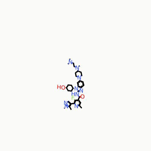 Cc1cc(C(=O)Nc2nc3ccc(N4CCC(N(C)CCN(C)C)CC4)cc3n2[C@H]2CC[C@@H](O)CC2)c(F)c(-c2cnn(C)c2C)n1